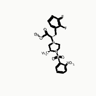 C[C@H]1CN([C@@H](Cc2cccc(F)c2F)C(=O)OC(C)(C)C)CCN1S(=O)(=O)c1ccccc1[N+](=O)[O-]